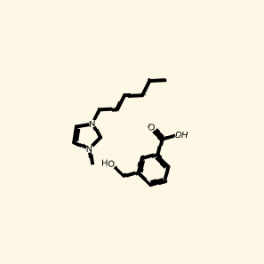 CCCCCCN1C=CN(C)C1.O=C(O)c1cccc(CO)c1